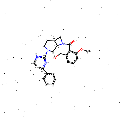 COc1cccc(CO)c1C(=O)N1CC2CCN(c3nccc(-c4ccccc4)n3)CC21